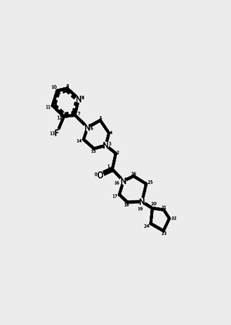 O=C(CN1CCN(c2ncccc2F)CC1)N1CCN(C2CCCC2)CC1